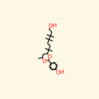 CC1CC(C(C)(C)CCC(C)(C)C(C)(C)CCO)OC(c2ccc(O)cc2)O1